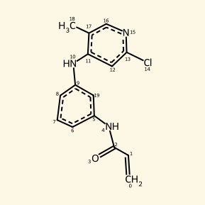 C=CC(=O)Nc1cccc(Nc2cc(Cl)ncc2C)c1